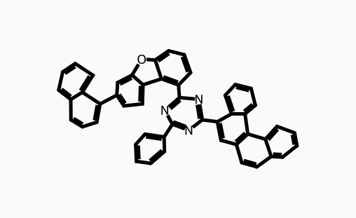 c1ccc(-c2nc(-c3cc4ccc5ccccc5c4c4ccccc34)nc(-c3cccc4oc5cc(-c6cccc7ccccc67)ccc5c34)n2)cc1